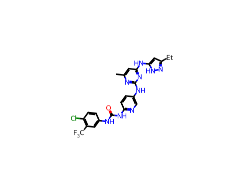 CCc1cc(Nc2cc(C)nc(Nc3ccc(NC(=O)Nc4ccc(Cl)c(C(F)(F)F)c4)nc3)n2)[nH]n1